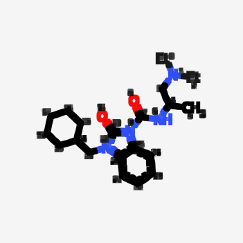 CCN(CC)CC(C)NC(=O)n1c(=O)n(CC2CCCCC2)c2ccccc21